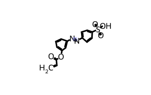 C=CC(=O)Oc1cccc(/N=N/c2ccc(S(=O)(=O)O)cc2)c1